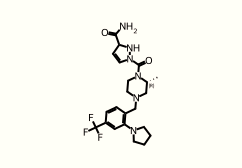 C[C@@H]1CN(Cc2ccc(C(F)(F)F)cc2N2CCCC2)CCN1C(=O)N1C=CC(C(N)=O)N1